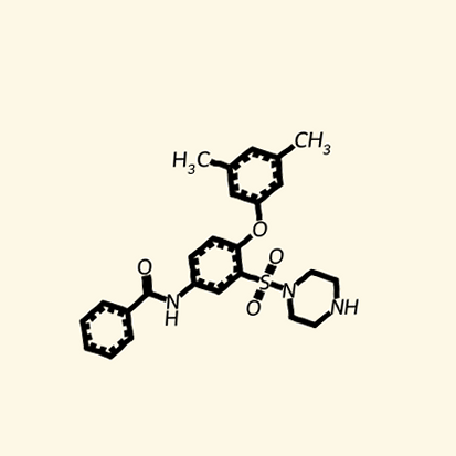 Cc1cc(C)cc(Oc2ccc(NC(=O)c3ccccc3)cc2S(=O)(=O)N2CCNCC2)c1